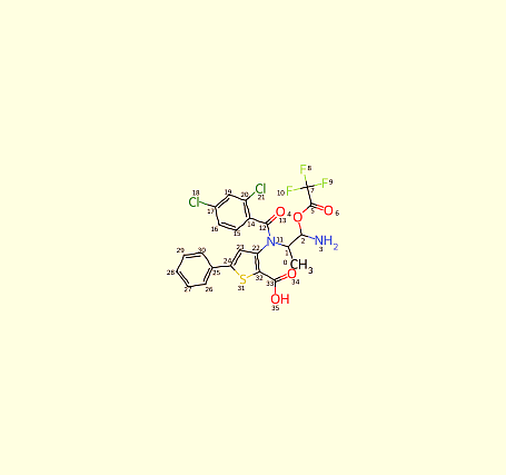 CC(C(N)OC(=O)C(F)(F)F)N(C(=O)c1ccc(Cl)cc1Cl)c1cc(-c2ccccc2)sc1C(=O)O